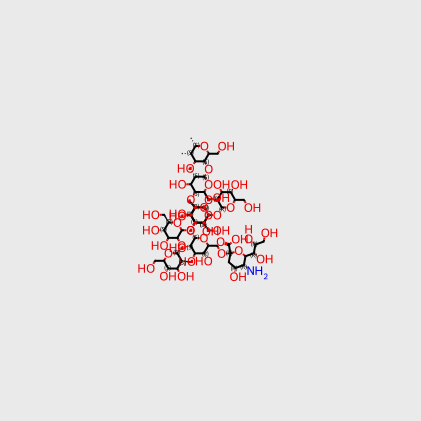 CC1C(O)[C@H](O[C@@H]2OC(CO[C@]3(C(=O)O)C[C@@H](O)[C@@H](N)C([C@H](O)[C@H](O)CO)O3)[C@H](O)C(O)[C@@H]2O)[C@H](CO)O[C@H]1O[C@@H]1C(O)[C@H](O)C(CO)O[C@@H]1OC1O[C@@H](O[C@@H]2C(CO)O[C@@H](O[C@@H]3C(CO)O[C@@H](C)[C@@H](C)C3O)[C@@H](C)C2O)[C@H](O)C(OC2O[C@H](CO)[C@@H](O)C(O)C2O[C@@H]2OC(CO)[C@@H](O)C(O)[C@@H]2C)[C@@H]1O